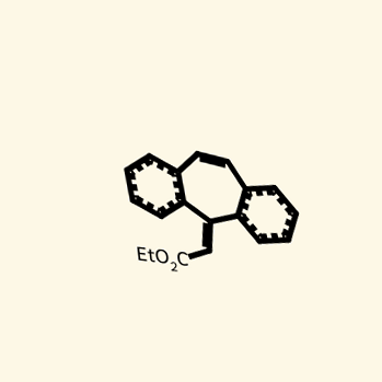 CCOC(=O)C=C1c2ccccc2C=Cc2ccccc21